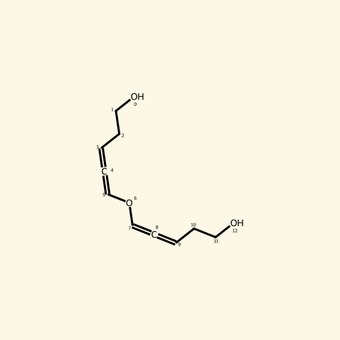 OCCC=C=COC=C=CCCO